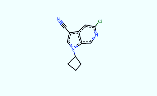 N#Cc1cn(C2CCC2)c2cnc(Cl)cc12